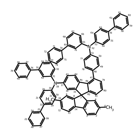 Cc1ccc2c(c1)C1(c3cc(C)ccc3-2)c2cc(N(c3ccc(-c4ccccc4)cc3)c3cccc(-c4ccccc4)c3)ccc2-c2c(-c3ccc(N(c4ccc(-c5ccccc5)cc4)c4cccc(-c5ccccc5)c4)cc3)cccc21